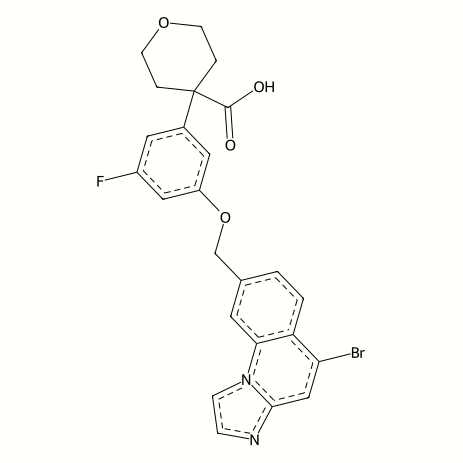 O=C(O)C1(c2cc(F)cc(OCc3ccc4c(Br)cc5nccn5c4c3)c2)CCOCC1